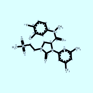 Cc1cc(C(F)(F)F)cc(N2C(=O)N(CCS(C)(=O)=O)C[C@H]2C(=O)N(C)c2ccc(F)c(Cl)c2)n1